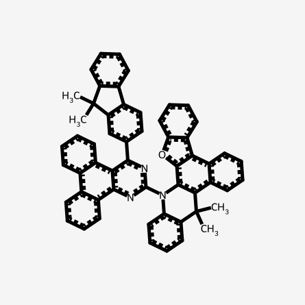 CC1(C)c2ccccc2-c2ccc(-c3nc(N4c5ccccc5C(C)(C)c5c4c4oc6ccccc6c4c4ccccc54)nc4c5ccccc5c5ccccc5c34)cc21